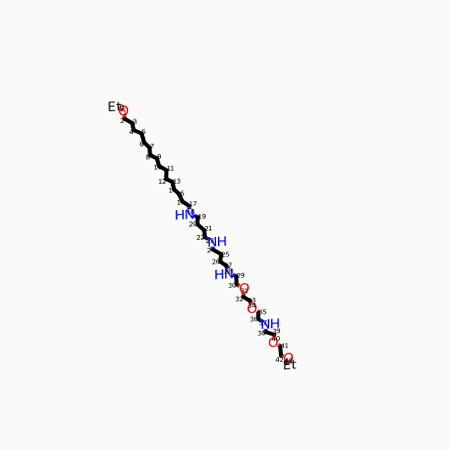 CCOCCCCCCCCCCCCCCCCNCCCCNCCCCNCCOCCOCCNCCOCCOCC